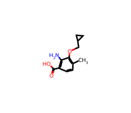 Cc1ccc(C(=O)O)c(N)c1OCC1CC1